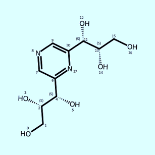 OC[C@H](O)[C@@H](O)c1cncc([C@H](O)[C@@H](O)CO)n1